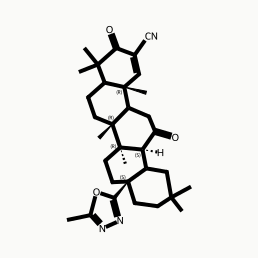 Cc1nnc([C@]23CCC(C)(C)CC2[C@@H]2C(=O)CC4[C@@]5(C)C=C(C#N)C(=O)C(C)(C)C5CC[C@@]4(C)[C@]2(C)CC3)o1